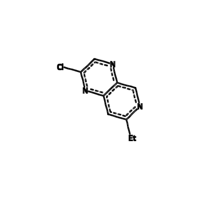 CCc1cc2nc(Cl)cnc2cn1